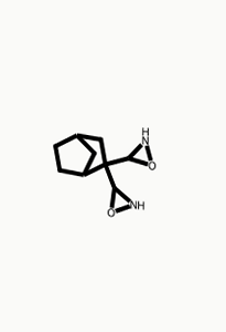 C1CC2CC1CC2(C1NO1)C1NO1